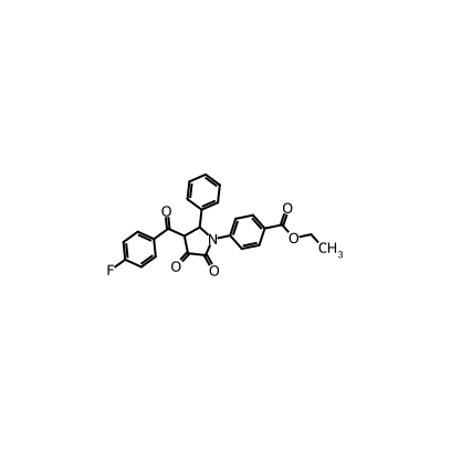 CCOC(=O)c1ccc(N2C(=O)C(=O)C(C(=O)c3ccc(F)cc3)C2c2ccccc2)cc1